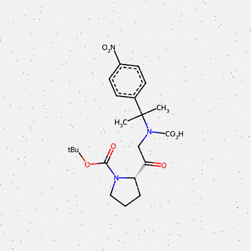 CC(C)(C)OC(=O)N1CCC[C@H]1C(=O)CN(C(=O)O)C(C)(C)c1ccc([N+](=O)[O-])cc1